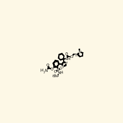 CN1CCC[C@H]1COC(=O)NC1(c2ncsc2-c2cccc(OC(N)=O)c2S(=O)(=O)NC(C)(C)C)CCCCC1